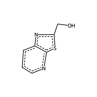 OCc1nc2cccnc2s1